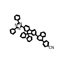 N#Cc1ccc(-c2ccc(-c3ccc4c(c3)C(c3ccccc3)(c3ccccc3)c3cc(-c5nc(-c6ccccc6)nc(-c6ccccc6)n5)ccc3-4)c3ccccc23)cc1